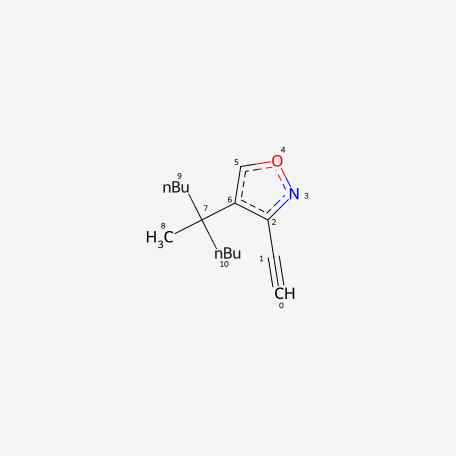 C#Cc1nocc1C(C)(CCCC)CCCC